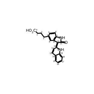 O=C(O)CCCc1ccc2c(c1)C(=C1C=Cc3ccccc3N1)C(=O)N2